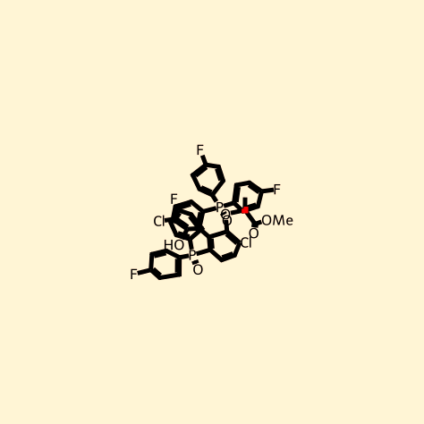 COC(=O)C(C)Oc1c(Cl)ccc(P(=O)(c2ccc(F)cc2)c2ccc(F)cc2)c1-c1c(P(=O)(c2ccc(F)cc2)c2ccc(F)cc2)ccc(Cl)c1O